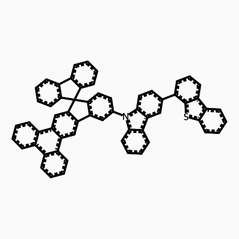 c1ccc2c(c1)-c1ccccc1C21c2ccc(-n3c4ccccc4c4cc(-c5cccc6c5sc5ccccc56)ccc43)cc2-c2cc3c4ccccc4c4ccccc4c3cc21